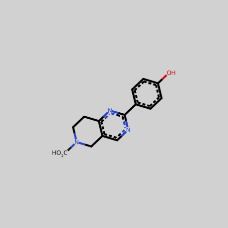 O=C(O)N1CCc2nc(-c3ccc(O)cc3)ncc2C1